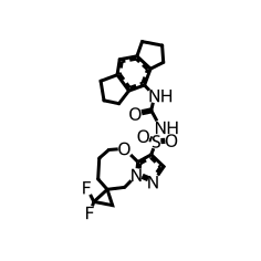 O=C(Nc1c2c(cc3c1CCC3)CCC2)NS(=O)(=O)c1cnn2c1OCCCC1(C2)CC1(F)F